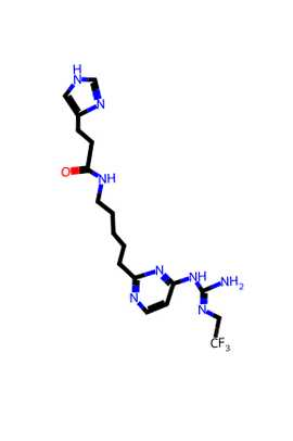 NC(=NCC(F)(F)F)Nc1ccnc(CCCCCNC(=O)CCc2c[nH]cn2)n1